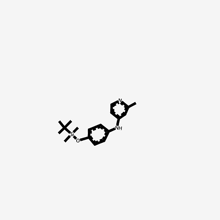 Cc1cc(Nc2ccc(O[Si](C)(C)C(C)(C)C)cc2)ccn1